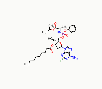 C#C[C@]1(CO[P@@](=O)(N[C@@H](C)C(=O)OC(C)C)Oc2ccccc2)O[C@@H](n2cnc3c(N)nc(F)nc32)C[C@@H]1OC(=O)CCCCCCCC